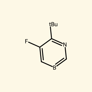 CC(C)(C)c1ncbcc1F